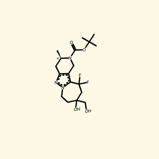 C[C@@H]1Cc2nn3c(c2CN1C(=O)OC(C)(C)C)C(F)(F)CC(O)(CO)CC3